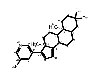 C[C@]12CCC3C(CCC4CC(F)(F)CC[C@@]43C)C1=CC=C2c1cncc(F)c1